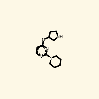 c1cc(OC2CCNC2)nc(N2CCCCC2)n1